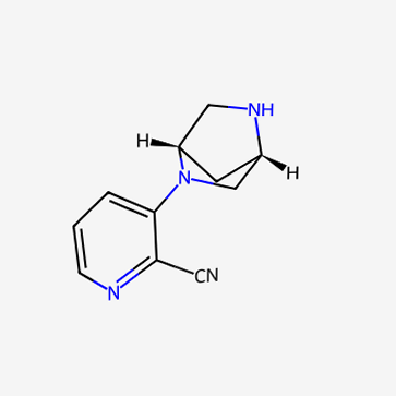 N#Cc1ncccc1N1C[C@@H]2C[C@H]1CN2